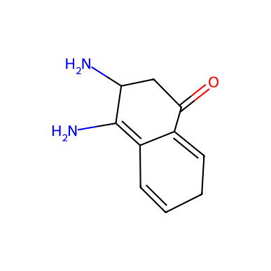 NC1=C2C=CCC=C2C(=O)CC1N